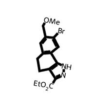 CCOC(=O)c1n[nH]c2c1CCc1cc(COC)c(Br)cc1-2